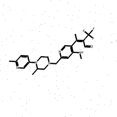 CNc1cc(CN2CCN(c3ccc(C)nc3)C(C)C2)ncc1/C(C)=C(\C=O)C(F)(F)F